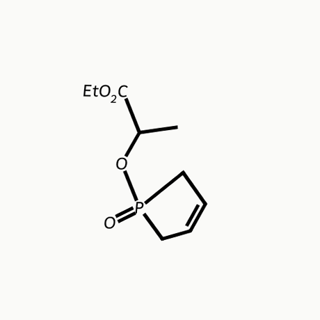 CCOC(=O)C(C)OP1(=O)CC=CC1